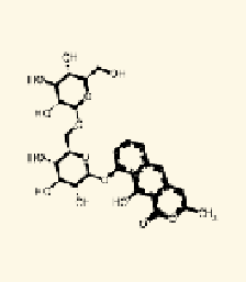 Cc1cc2cc3cccc(O[C@@H]4O[C@H](CO[C@@H]5O[C@H](CO)[C@@H](O)[C@H](O)[C@H]5O)[C@@H](O)[C@H](O)[C@H]4O)c3c(O)c2c(=O)o1